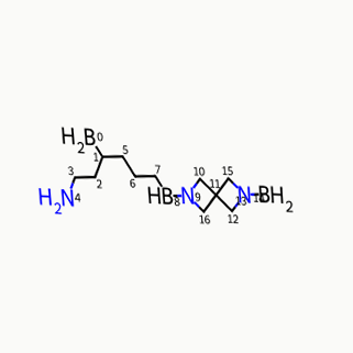 BC(CCN)CCCBN1CC2(CN(B)C2)C1